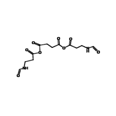 O=CNCCC(=O)OC(=O)CCC(=O)OC(=O)CCNC=O